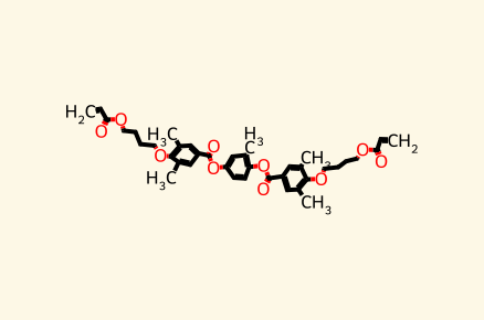 C=CC(=O)OCCCCOc1c(C)cc(C(=O)Oc2ccc(OC(=O)c3cc(C)c(OCCCCOC(=O)C=C)c(C)c3)c(C)c2)cc1C